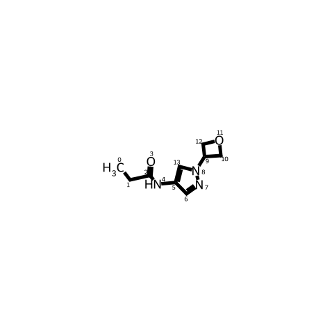 CCC(=O)Nc1cnn(C2COC2)c1